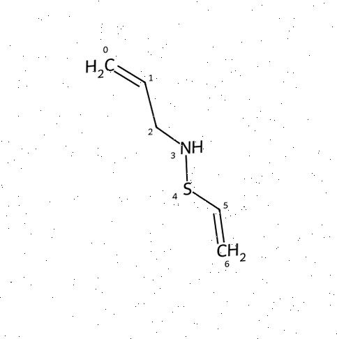 C=CCNSC=C